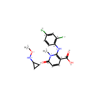 CONC1CC1.Cn1c(Nc2ccc(Br)cc2F)c(C(=O)O)ccc1=O